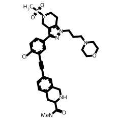 CNC(=O)C1Cc2ccc(C#Cc3cc(-c4nn(CCCN5CCOCC5)c5c4CN(S(C)(=O)=O)CC5)ccc3Cl)cc2CN1